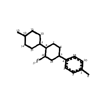 Cc1ccc(C2CCC(C3CCC(C)CC3)C(F)C2)cc1